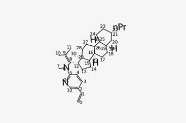 C=Cc1ccc(N(C)C(=C(C)C)[C@H]2CCC3[C@@H]4CC[C@@H]5C[C@@H](CCC)CC[C@@H]5C4CC[C@@]32C)nc1